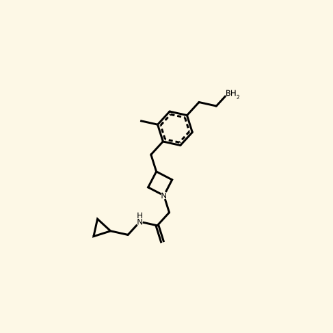 BCCc1ccc(CC2CN(CC(=C)NCC3CC3)C2)c(C)c1